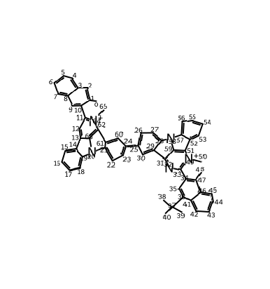 Cc1cc2ccccc2cc1-c1cc2c3ccccc3n3c4ccc(-c5ccc6c(c5)c5nc(-c7cc(C(C)(C)C)c8ccccc8c7C)[n+](C)c7c8ccccc8n6c57)cc4c(c23)[n+]1C